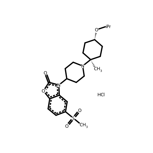 CC(C)O[C@H]1CC[C@](C)(N2CCC(n3c(=O)oc4ccc(S(C)(=O)=O)cc43)CC2)CC1.Cl